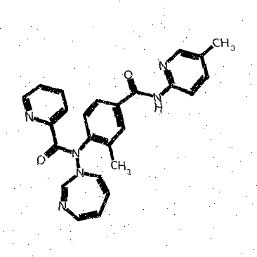 Cc1ccc(NC(=O)c2ccc(N(C(=O)c3ccccn3)N3C=CC=CN=C3)c(C)c2)nc1